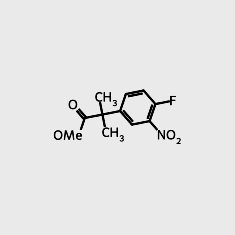 COC(=O)C(C)(C)c1ccc(F)c([N+](=O)[O-])c1